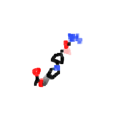 CC(=O)O[C@H]1CCN(c2ccc(CBOCN)cc2)C1